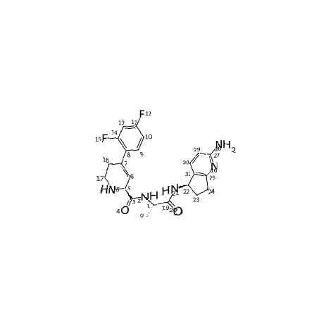 C[C@H](NC(=O)[C@@H]1C=C(c2ccc(F)cc2F)CCN1)C(=O)N[C@@H]1CCc2nc(N)ccc21